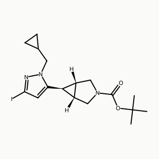 CC(C)(C)OC(=O)N1C[C@@H]2[C@H](C1)[C@H]2c1cc(I)nn1CC1CC1